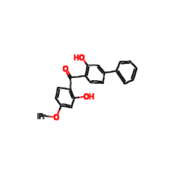 CC(C)Oc1ccc(C(=O)c2ccc(-c3ccccc3)cc2O)c(O)c1